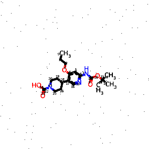 CCCOc1cc(NC(=O)OC(C)(C)C)ncc1C1CCN(C(=O)O)CC1